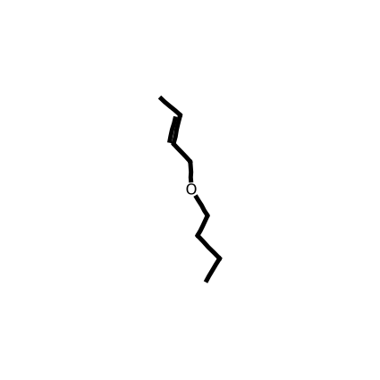 CC=CCOCCCC